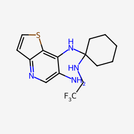 Nc1cnc2ccsc2c1NC1(NCC(F)(F)F)CCCCC1